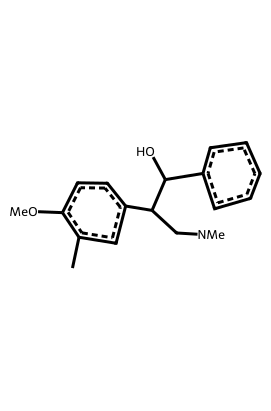 CNCC(c1ccc(OC)c(C)c1)C(O)c1ccccc1